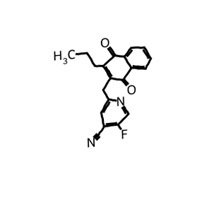 CCCC1=C(Cc2cc(C#N)c(F)cn2)C(=O)c2ccccc2C1=O